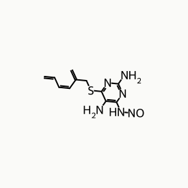 C=C/C=C\C(=C)CSc1nc(N)nc(NN=O)c1N